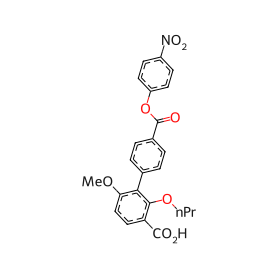 CCCOc1c(C(=O)O)ccc(OC)c1-c1ccc(C(=O)Oc2ccc([N+](=O)[O-])cc2)cc1